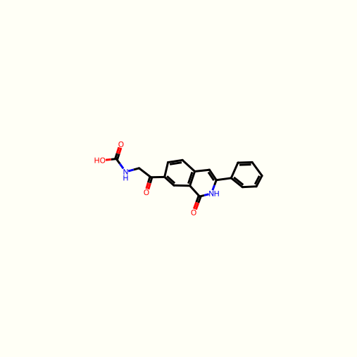 O=C(O)NCC(=O)c1ccc2cc(-c3ccccc3)[nH]c(=O)c2c1